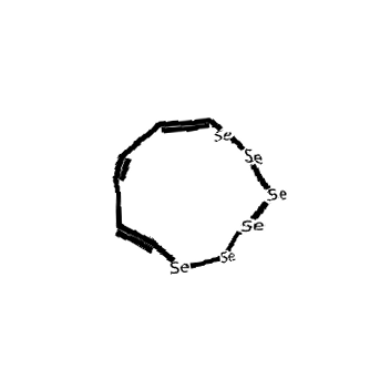 c1ccc[se][se][se][se][se][se]cc1